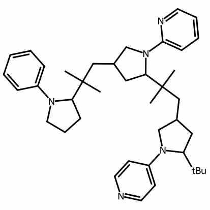 CC(C)(C)C1CC(CC(C)(C)C2CC(CC(C)(C)C3CCCN3c3ccccc3)CN2c2ccccn2)CN1c1ccncc1